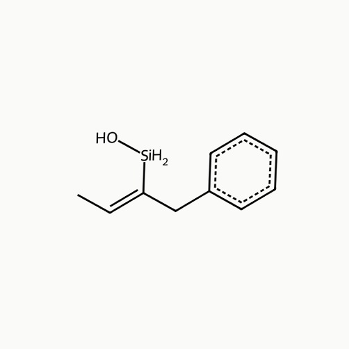 CC=C(Cc1ccccc1)[SiH2]O